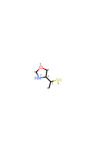 CC(S)C1COCN1